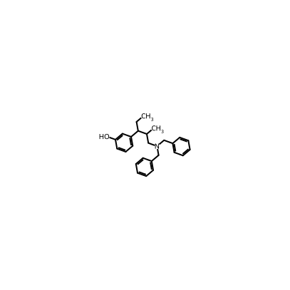 CCC(c1cccc(O)c1)C(C)CN(Cc1ccccc1)Cc1ccccc1